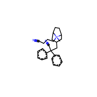 C[N+]1(CCCC#N)C2CCC1CC(CC(C#N)(c1ccccc1)c1ccccc1)C2